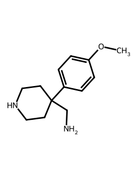 COc1ccc(C2(CN)CCNCC2)cc1